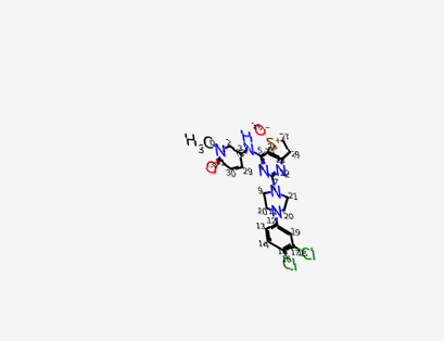 CN1C[C@@H](Nc2nc(N3CCN(c4ccc(Cl)c(Cl)c4)CC3)nc3c2[S+]([O-])CC3)CCC1=O